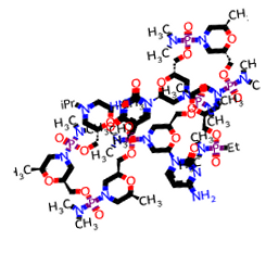 CCP(=O)(OC[C@@H]1CN(P(=O)(OC[C@@H]2CN(P(=O)(OC[C@@H]3CN(P(=O)(OC[C@@H]4CN(P(=O)(OC[C@@H]5CN(P(=O)(OC[C@@H]6CN(P(=O)(OC[C@@H]7CN(C(C)C)C[C@H](C)O7)N(C)C)C[C@H](C)O6)N(C)C)C[C@H](C)O5)N(C)C)C[C@H](n5ccc(N)nc5=O)O4)N(C)C)C[C@H](n4cc(C)c(=O)[nH]c4=O)O3)N(C)C)C[C@H](C)O2)N(C)C)C[C@H](C)O1)N(C)C